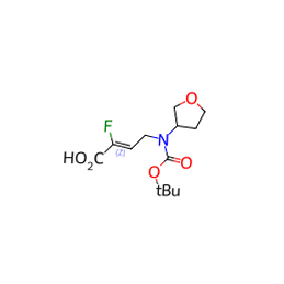 CC(C)(C)OC(=O)N(C/C=C(\F)C(=O)O)C1CCOC1